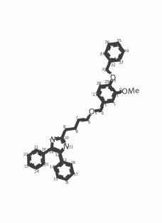 COc1cc(COCCCCC2=NC(c3ccccc3)=C(c3ccccc3)[N]2)ccc1OCc1ccccc1